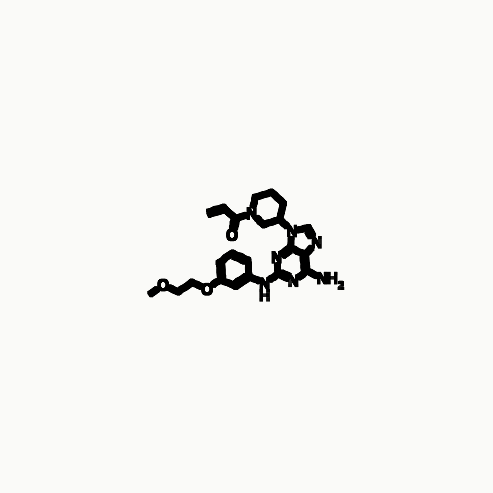 C=CC(=O)N1CCCC(n2cnc3c(N)nc(Nc4cccc(OCCOC)c4)nc32)C1